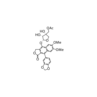 COc1cc2c(O[C@H]3OC[C@](O)(COC(C)=O)[C@H]3O)c3c(c(-c4ccc5c(c4)OCO5)c2cc1OC)C(=O)OC3